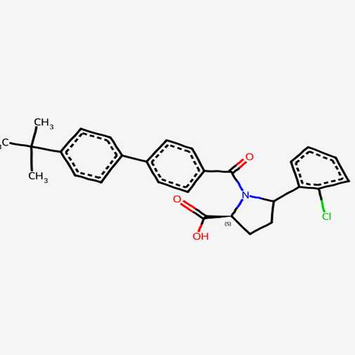 CC(C)(C)c1ccc(-c2ccc(C(=O)N3C(c4ccccc4Cl)CC[C@H]3C(=O)O)cc2)cc1